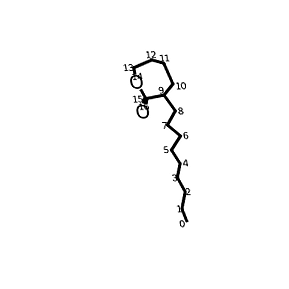 CCCCCCCCCC1CCCCOC1=O